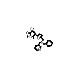 CCc1cc(-c2ccc(CN(Cc3ccccc3)Cc3cccnc3)o2)c(C)[nH]c1=O